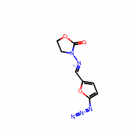 [N-]=[N+]=Nc1ccc(/C=N/N2CCOC2=O)o1